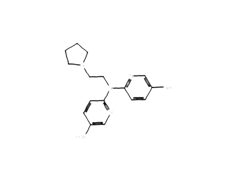 Nc1ccc(N(CCN2CCCC2)c2ccc(N)cn2)nc1